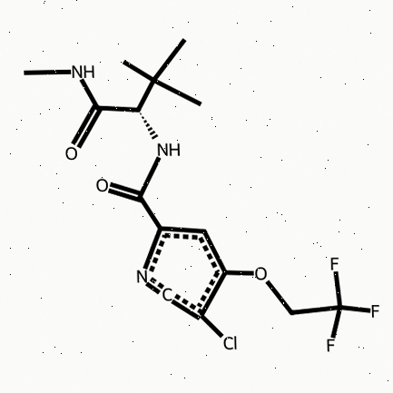 CNC(=O)[C@@H](NC(=O)c1cc(OCC(F)(F)F)c(Cl)cn1)C(C)(C)C